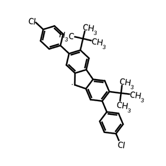 CC(C)(C)c1cc2c(cc1-c1ccc(Cl)cc1)[CH]c1cc(-c3ccc(Cl)cc3)c(C(C)(C)C)cc1-2